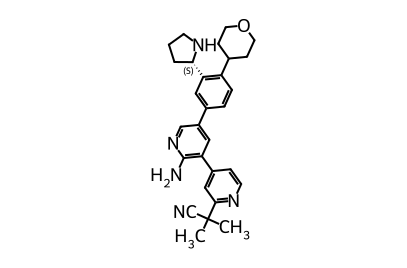 CC(C)(C#N)c1cc(-c2cc(-c3ccc(C4CCOCC4)c([C@@H]4CCCN4)c3)cnc2N)ccn1